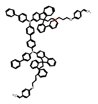 C=Cc1ccc(OCCCCCCC2(c3ccccc3C3=CC=CCC3)C3=C(C=CC#CC3)c3ccc(N(c4ccc(-c5ccccc5)cc4)c4ccc(-c5ccc(N(c6ccc(-c7ccccc7)cc6)c6ccc7c(c6)C(CCCCCCOc6ccc(C=C)cc6)(c6ccccc6-c6ccccc6)c6ccccc6-7)cc5)cc4)cc32)cc1